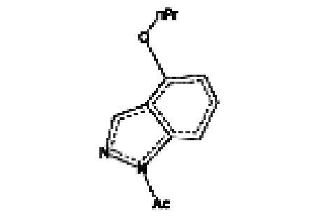 CCCOc1cccc2c1cnn2C(C)=O